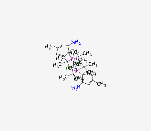 CC1=CC(N)C(C)([PH](C(C)(C)C)(C(C)(C)C)[Pd-2]([Cl])([Cl])[PH](C(C)(C)C)(C(C)(C)C)C2(C)C=CC(C)=CC2N)C=C1